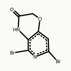 O=C1COc2cc(Br)nc(Br)c2N1